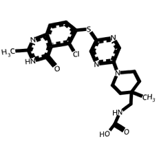 Cc1nc2ccc(Sc3cnc(N4CCC(C)(CNC(=O)O)CC4)cn3)c(Cl)c2c(=O)[nH]1